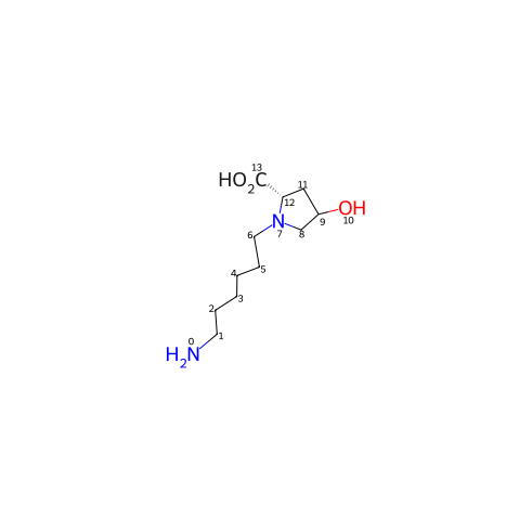 NCCCCCCN1CC(O)C[C@H]1C(=O)O